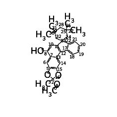 COC1(C)Oc2cc3c(O)cc4c(c3cc2O1)-c1ccccc1C41CC(C)(C)CC(C)(C)C1